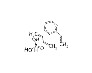 C=CC=C.C=Cc1ccccc1.O=[PH](O)O